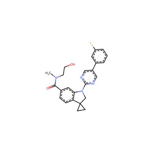 CN(CCO)C(=O)c1ccc2c(c1)N(c1ncc(-c3cccc(F)c3)cn1)CC21CC1